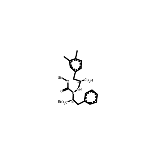 CCOC(=O)[C@H](Cc1ccccc1)N(N[C@@H](Cc1ccc(C)c(C)c1)C(=O)O)C(=O)OC(C)(C)C